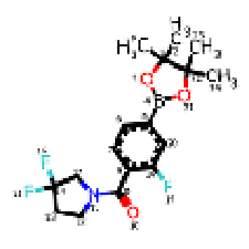 CC1(C)OB(c2ccc(C(=O)N3CCC(F)(F)C3)c(F)c2)OC1(C)C